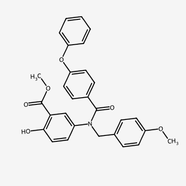 COC(=O)c1cc(N(Cc2ccc(OC)cc2)C(=O)c2ccc(Oc3ccccc3)cc2)ccc1O